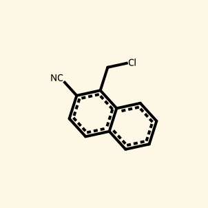 N#Cc1ccc2ccccc2c1CCl